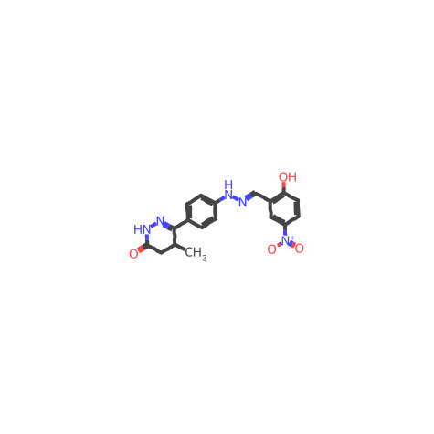 CC1CC(=O)NN=C1c1ccc(NN=Cc2cc([N+](=O)[O-])ccc2O)cc1